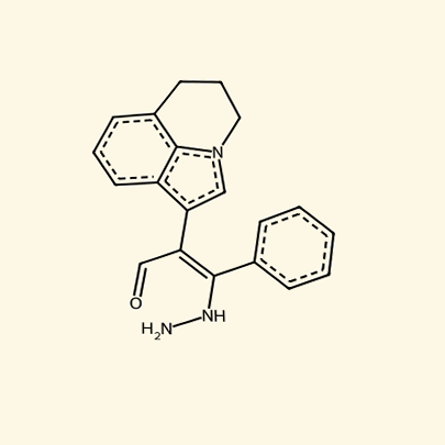 NN/C(=C(\C=O)c1cn2c3c(cccc13)CCC2)c1ccccc1